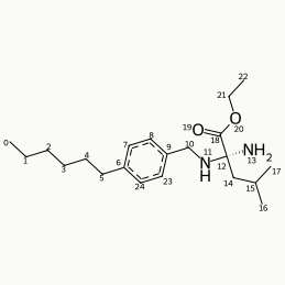 CCCCCCc1ccc(CN[C@](N)(CC(C)C)C(=O)OCC)cc1